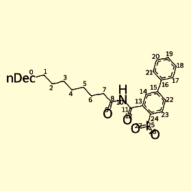 CCCCCCCCCCCCCCCCCC(=O)NC(=O)c1cc(-c2ccccc2)ccc1I(=O)=O